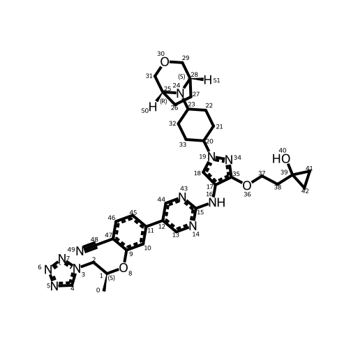 C[C@@H](Cn1cnnn1)Oc1cc(-c2cnc(Nc3cn(C4CCC(N5[C@@H]6CC[C@H]5COC6)CC4)nc3OCCC3(O)CC3)nc2)ccc1C#N